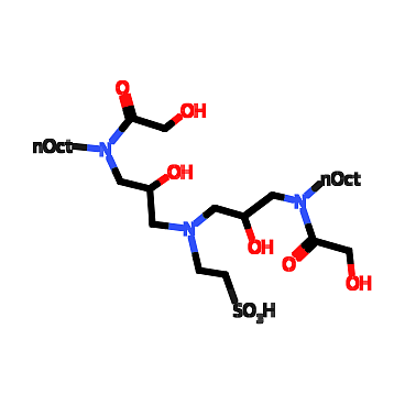 CCCCCCCCN(CC(O)CN(CCS(=O)(=O)O)CC(O)CN(CCCCCCCC)C(=O)CO)C(=O)CO